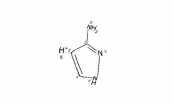 Nc1cc[nH]n1.[H+]